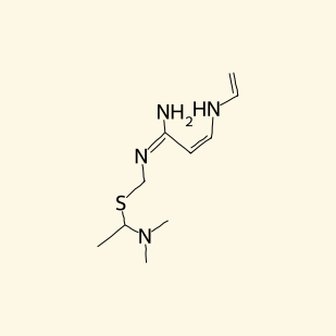 C=CN/C=C\C(N)=N/CSC(C)N(C)C